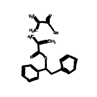 C=C(C)C(=O)O.C=C(C)C(=O)OC(Cc1ccccc1)c1ccccc1